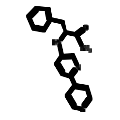 NC(=O)[C@H](Cc1ccccc1)Nc1ccc(-c2ccncc2)nc1